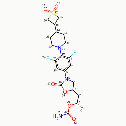 C[C@@H](CC1CN(c2cc(F)c(N3CCC(C4CS(=O)(=O)C4)CC3)c(F)c2)C(=O)O1)OC(N)=O